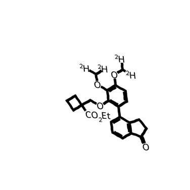 [2H]C([2H])Oc1ccc(-c2cccc3c2CCC3=O)c(OCC2(C(=O)OCC)CCC2)c1OC([2H])[2H]